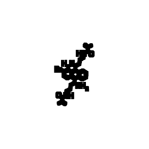 C=C(C)C(=O)NCCCC(N)c1c2ccccc2c(C(N)CCCNC(=O)C(=C)C)c2cc(Br)ccc12